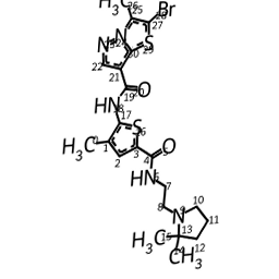 Cc1cc(C(=O)NCCN2CCCC2(C)C)sc1NC(=O)c1cnn2c(C)c(Br)sc12